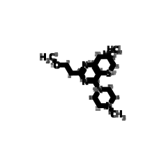 COCCc1nc2c(c(N3CCN(C)CC3)n1)SCCC2.Cl.Cl